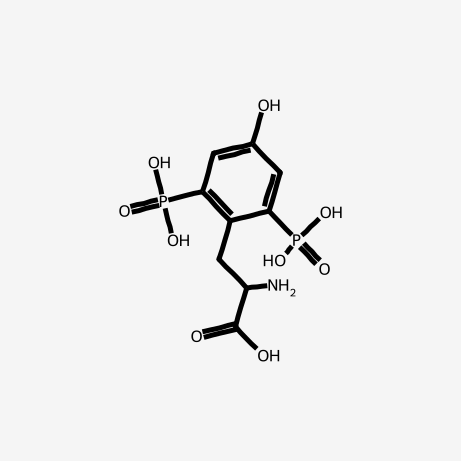 NC(Cc1c(P(=O)(O)O)cc(O)cc1P(=O)(O)O)C(=O)O